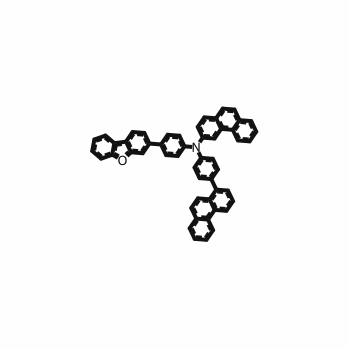 c1ccc2c(c1)ccc1ccc(N(c3ccc(-c4ccc5c(c4)oc4ccccc45)cc3)c3ccc(-c4cccc5c4ccc4ccccc45)cc3)cc12